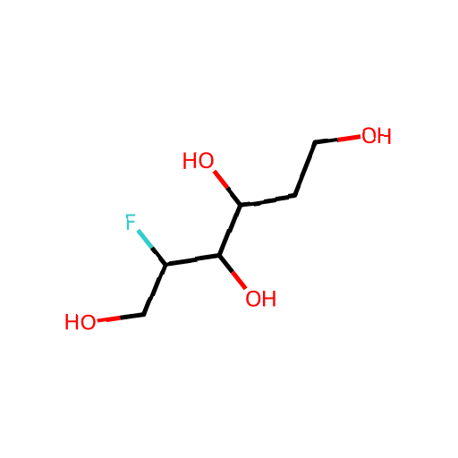 OCCC(O)C(O)C(F)CO